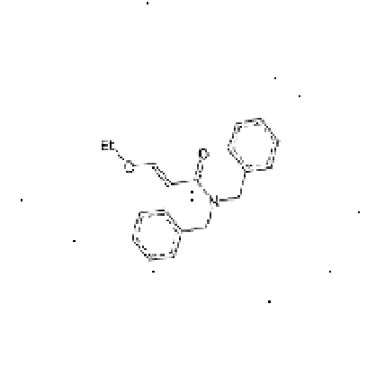 CCOC=CC(=O)N(Cc1ccccc1)Cc1ccccc1